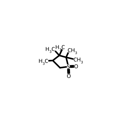 CC1CS(=O)(=O)C(C)(C)C1(C)C